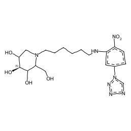 O=[N+]([O-])c1ccc(-n2cnnn2)cc1NCCCCCCN1CC(O)[C@H](O)C(O)C1CO